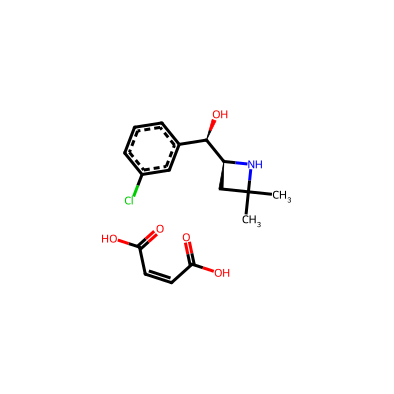 CC1(C)C[C@@H]([C@H](O)c2cccc(Cl)c2)N1.O=C(O)/C=C\C(=O)O